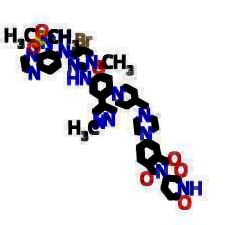 COc1cc(N2CCC(CN3CCN(c4ccc5c(c4)C(=O)N(C4CCC(=O)NC4=O)C5=O)CC3)CC2)c(-c2cnn(C)c2)cc1Nc1ncc(Br)c(Nc2ccc3nccnc3c2N(C)S(C)(=O)=O)n1